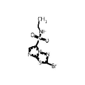 CCNS(=O)(=O)c1cnc2sc(Br)nn12